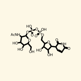 CC(=O)NC1C(OP(=O)(O)OP(=O)(O)OCC2OC(C3C=CC(=O)NC3=O)C(O)C2O)OC(CO)C(O)C1O